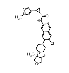 Cn1cc([C@H]2C[C@@H]2C(=O)Nc2cc3cc(C4CCN([C@]5(C)COC[C@@H]5F)CC4)c(Cl)cc3cn2)cn1